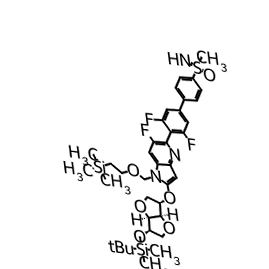 CC(C)(C)[Si](C)(C)O[C@@H]1CO[C@H]2[C@@H]1OC[C@H]2Oc1cc2nc(-c3c(F)cc(-c4ccc(S(C)(=N)=O)cc4)cc3F)c(F)cc2n1COCC[Si](C)(C)C